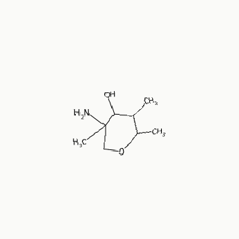 CC1OCC(C)(N)C(O)C1C